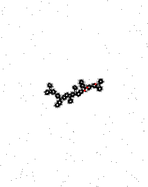 CC(c1ccc2c(ccc3c4cc5c(cc4n(-c4ccccc4)c23)c2ccc3cc(N(c4ccc(-c6ccc7c(c6)c6ccccc6n7-c6ccccc6)cc4)c4ccc6ccccc6c4)ccc3c2n5-c2ccccc2)c1)C(c1ccc(-c2ccc3c(c2)c2ccccc2n3-c2ccccc2)cc1)c1ccc2ccccc2c1